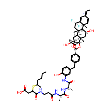 C/C=C1\C=C[C@@]2(C)C(=C1)[C@@H](F)C[C@@H]1[C@]2(F)[C@@H](O)C[C@@]2(C)[C@@]1(C)C[C@H]1O[C@@H](c3ccc(Cc4ccc(O)c(NC(=O)[C@H](C)NC(=O)[C@H](C)NC(=O)CCNC(=O)C(CC(=O)O)SC(C)CCCC)c4)cc3)O[C@]12C(=O)CO